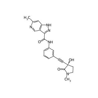 Cc1cc2[nH]nc(C(=O)Nc3cccc(C#C[C@]4(O)CCN(C)C4=O)c3)c2cn1